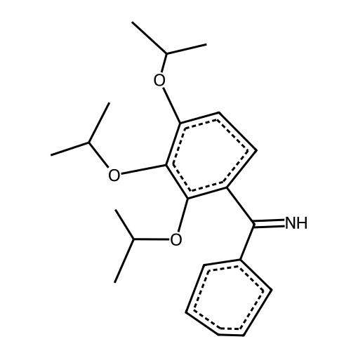 CC(C)Oc1ccc(C(=N)c2ccccc2)c(OC(C)C)c1OC(C)C